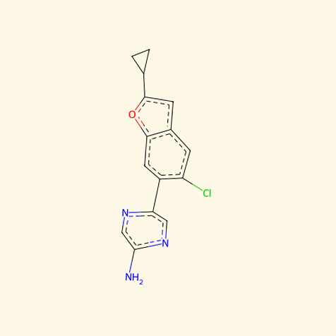 Nc1cnc(-c2cc3oc(C4CC4)cc3cc2Cl)cn1